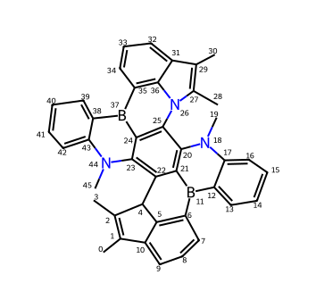 CC1=C(C)C2c3c(cccc31)B1c3ccccc3N(C)c3c1c2c1c2c3-n3c(C)c(C)c4cccc(c43)B2c2ccccc2N1C